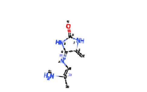 C=C1NC(=O)N/C1=N/C=C(/C)N